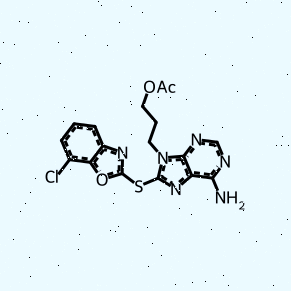 CC(=O)OCCCn1c(Sc2nc3cccc(Cl)c3o2)nc2c(N)ncnc21